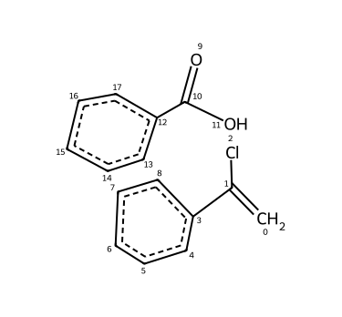 C=C(Cl)c1ccccc1.O=C(O)c1ccccc1